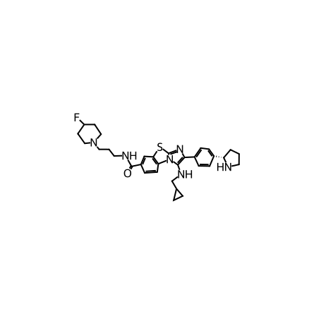 O=C(NCCCN1CCC(F)CC1)c1ccc2c(c1)sc1nc(-c3ccc([C@@H]4CCCN4)cc3)c(NCC3CC3)n12